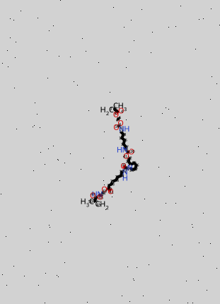 C=C(C)C(=O)OCCOC(=O)NCCCCCCNC(=O)OCCC1CCCCN1C(=O)NCCCCCCCC(=O)OCNOC(=O)C(=C)C